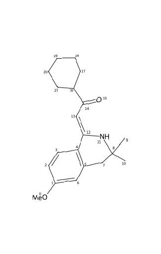 COc1ccc2c(c1)CC(C)(C)NC2=CC(=O)C1CCCCC1